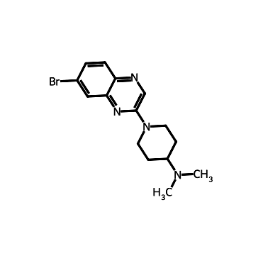 CN(C)C1CCN(c2cnc3ccc(Br)cc3n2)CC1